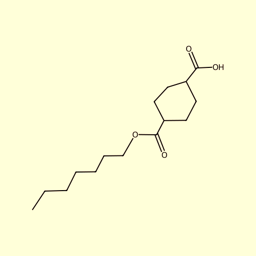 CCCCCCCOC(=O)C1CCC(C(=O)O)CC1